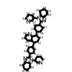 c1cncc(-n2c(-c3ccc(-c4ccc(-c5ccc(-c6nc7ccccc7n6-c6cccnc6)cc5)c5ncccc45)cc3)nc3ccccc32)c1